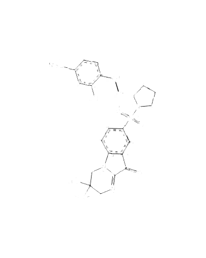 COc1ccc(OC[C@@H]2CCCN2S(=O)(=O)c2ccc3c(c2)C(=O)C2=NCC(C)(C)CN23)c(Cl)c1